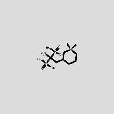 C[N+]1(C)CCCC(CC(N)(P(=O)(O)O)P(=O)(O)O)C1